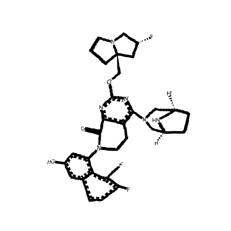 O=C1c2nc(OC[C@@]34CCCN3C[C@H](F)C4)nc(N3C[C@H]4CC[C@@H](C3)N4)c2CCN1c1cc(O)cc2ccc(F)c(F)c12